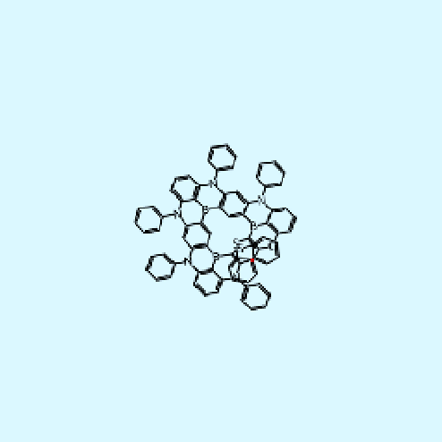 c1ccc(N2c3cc4c(cc3B3c5sc6ccccc6c5Oc5cccc2c53)B2c3cc5c(cc3N(c3ccccc3)c3cccc(c32)N4c2ccccc2)N(c2ccccc2)c2cccc3c2B5c2sc4ccccc4c2N3c2ccccc2)cc1